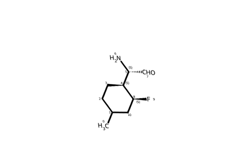 CC1CC[C@@H]([C@H](N)C=O)[C@@H](F)C1